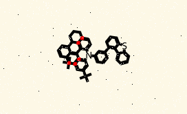 CC(C)(C)c1cc(N(c2cccc(-c3cccc4sc5ccccc5c34)c2)c2ccccc2-c2cccc3cccc(C4CCCCC4)c23)cc(C(C)(C)C)c1